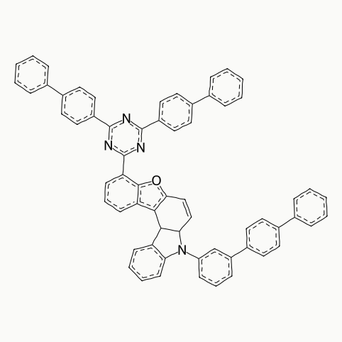 C1=CC2C(c3ccccc3N2c2cccc(-c3ccc(-c4ccccc4)cc3)c2)c2c1oc1c(-c3nc(-c4ccc(-c5ccccc5)cc4)nc(-c4ccc(-c5ccccc5)cc4)n3)cccc21